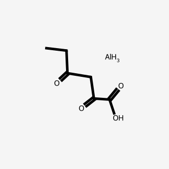 CCC(=O)CC(=O)C(=O)O.[AlH3]